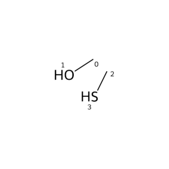 CO.CS